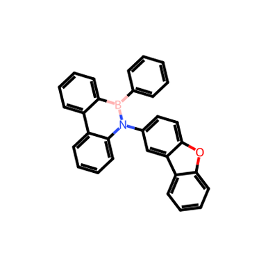 c1ccc(B2c3ccccc3-c3ccccc3N2c2ccc3oc4ccccc4c3c2)cc1